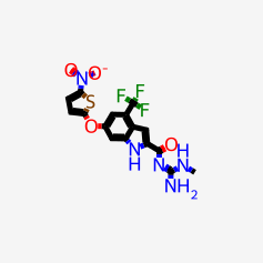 CNC(N)=NC(=O)c1cc2c(C(F)(F)F)cc(Oc3ccc([N+](=O)[O-])s3)cc2[nH]1